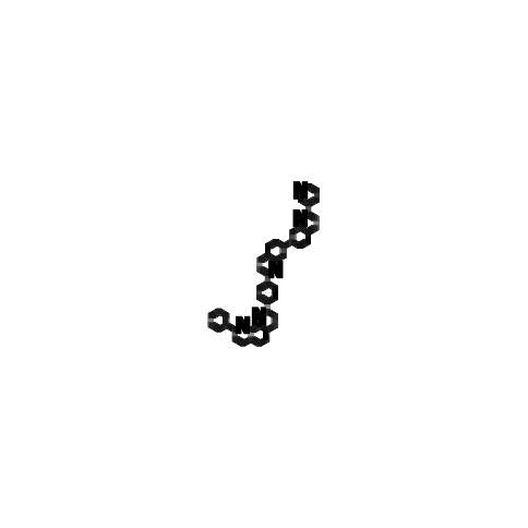 c1ccc(-c2ccc3ccc4ccc(-c5ccc(-c6ccc7ccc(-c8ccc9ccc(-c%10cccnc%10)nc9c8)cc7n6)cc5)nc4c3n2)cc1